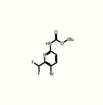 CC(C)(C)OC(=O)Nc1ccc(Br)c(C(F)F)n1